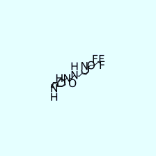 O=C(NCc1ccc(OCC(F)(F)F)nc1)Nc1ccc2[nH]ccc2c1